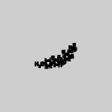 Cc1ccc(-c2ccc(C(F)(F)Oc3cc(F)c(/C=C/C(F)(F)F)c(F)c3)c(F)c2F)cc1